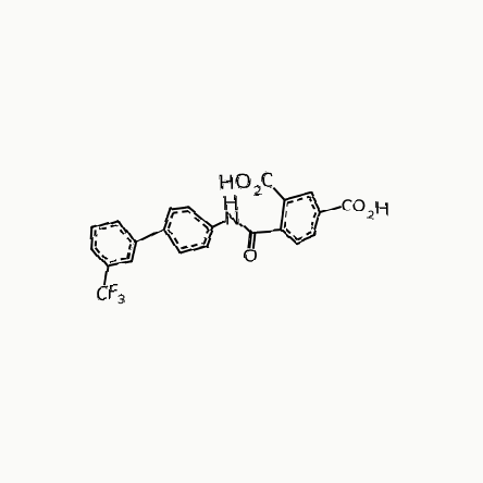 O=C(O)c1ccc(C(=O)Nc2ccc(-c3cccc(C(F)(F)F)c3)cc2)c(C(=O)O)c1